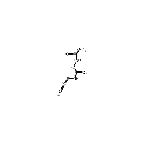 NC(=O)NOC(=O)NN=C=O